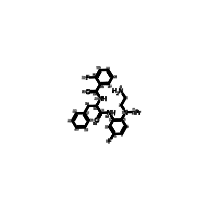 CCCN(CCN)c1ccc(F)cc1NC(=O)C(Cc1ccccc1)NC(=O)c1ccccc1F